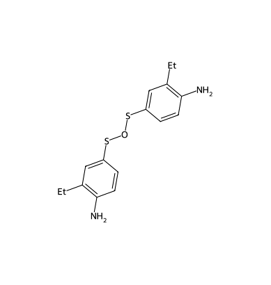 CCc1cc(SOSc2ccc(N)c(CC)c2)ccc1N